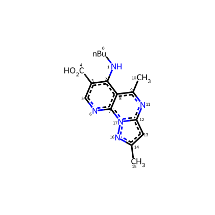 CCCCNc1c(C(=O)O)cnc2c1c(C)nc1cc(C)nn12